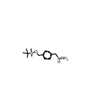 CC(C)(C)[Si](C)(C)OCc1ccc(CNN)cc1